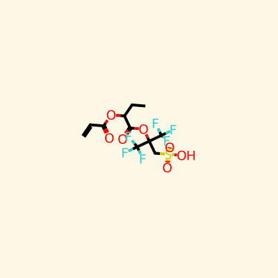 C=CC(=O)OC(CC)C(=O)OC(CS(=O)(=O)O)(C(F)(F)F)C(F)(F)F